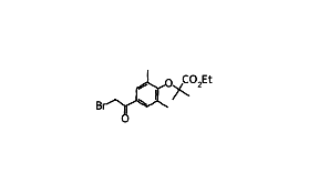 CCOC(=O)C(C)(C)Oc1c(C)cc(C(=O)CBr)cc1C